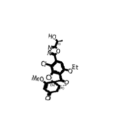 CCOc1cc(-c2nnc([C@H](C)O)o2)c(Cl)c2c1C(=O)[C@@]1(O2)C(OC)=CC(=O)C[C@H]1C